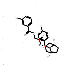 O=C(CNC(=O)c1cccc(Cl)c1)N[C@@H]1C[C@H]2CC[C@@H](C1)N2Cc1ccc(Cl)cc1